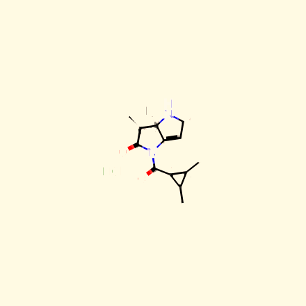 CC1C(C)C1C(=O)N1C(=O)[C@@H](C)[C@H]2NCC=C21.Cl